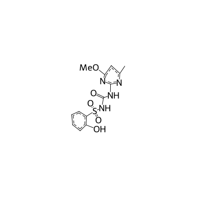 COc1cc(C)nc(NC(=O)NS(=O)(=O)c2ccccc2O)n1